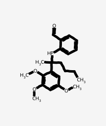 CCCCC(C)(Pc1ccccc1C=O)c1cc(OC)cc(OC)c1OC